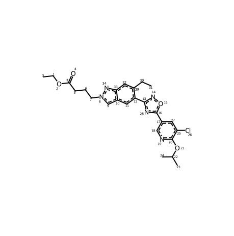 CCOC(=O)CCCn1cc2cc(-c3noc(-c4cnc(OC(C)C)c(Cl)c4)n3)c(CC)cc2n1